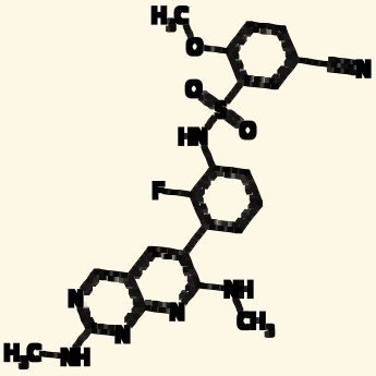 CNc1ncc2cc(-c3cccc(NS(=O)(=O)c4cc(C#N)ccc4OC)c3F)c(NC)nc2n1